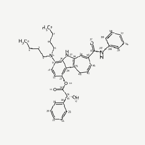 CCCCN(CCCC)c1ccc(OC(=O)[C@H](O)c2ccccc2)c2c3c([nH]c12)C=C(C(=O)Nc1ccccc1)C=CC3